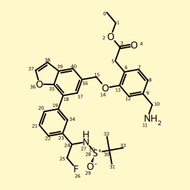 CCOC(=O)Cc1ccc(CN)cc1OCc1cc(-c2cccc(C(CF)N[S@+]([O-])C(C)(C)C)c2)c2occc2c1